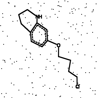 ClCCCCOc1ccc2c(c1)NCCC2